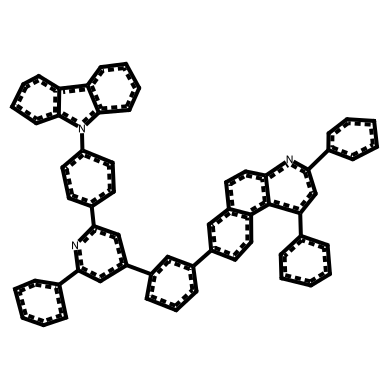 c1ccc(-c2cc(-c3cccc(-c4ccc5c(ccc6nc(-c7ccccc7)cc(-c7ccccc7)c65)c4)c3)cc(-c3ccc(-n4c5ccccc5c5ccccc54)cc3)n2)cc1